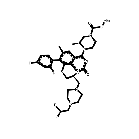 Cc1cc2c(N3CCN(C(=O)OC(C)(C)C)C[C@@H]3C)nc(=O)n3c2c(c1-c1ccc(F)cc1F)SC[C@@H]3CN1CCN(CC(F)F)CC1